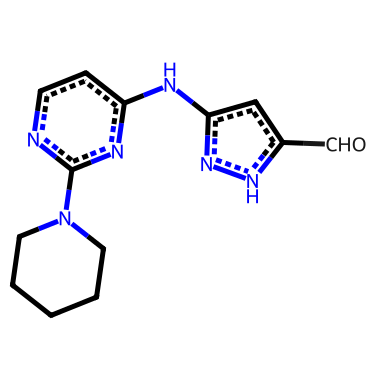 O=Cc1cc(Nc2ccnc(N3CCCCC3)n2)n[nH]1